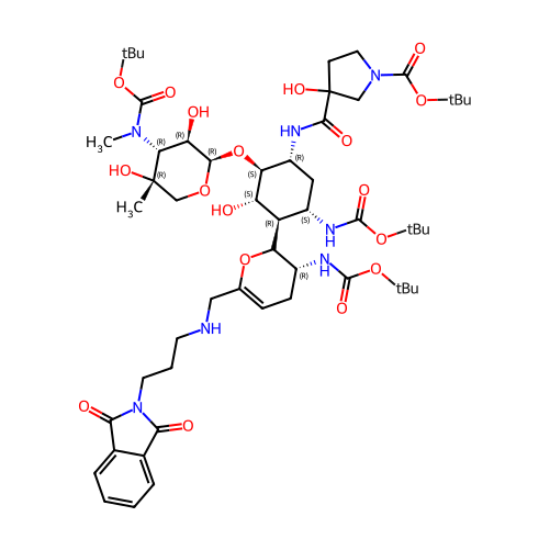 CN(C(=O)OC(C)(C)C)[C@@H]1[C@@H](O)[C@@H](O[C@@H]2[C@@H](O)[C@H](C3OC(CNCCCN4C(=O)c5ccccc5C4=O)=CC[C@H]3NC(=O)OC(C)(C)C)[C@@H](NC(=O)OC(C)(C)C)C[C@H]2NC(=O)C2(O)CCN(C(=O)OC(C)(C)C)C2)OC[C@]1(C)O